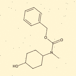 CN(C(=O)OCc1ccccc1)C1CCC(O)CC1